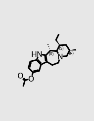 CC[C@H]1C[C@@H](C)CN2CCc3c([nH]c4ccc(OC(C)=O)cc34)[C@H](C)C12